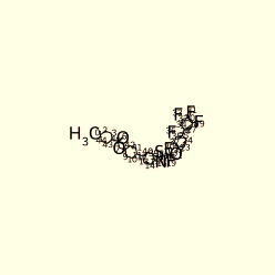 CC1CCC(C(=O)OC2CCC(c3ccc4nc(C(F)(F)Oc5ccc(-c6cc(F)c(F)c(F)c6)c(F)c5)sc4c3)CC2)CC1